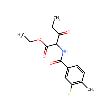 CCOC(=O)C(NC(=O)c1ccc(C)c(F)c1)C(=O)CC